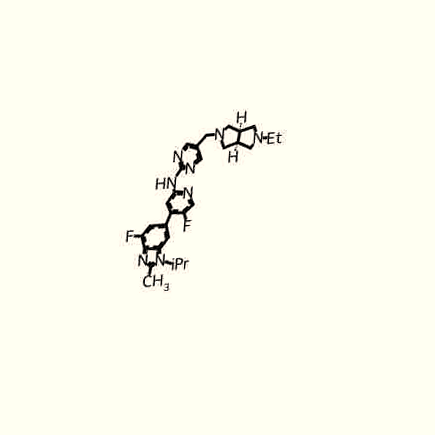 CCN1C[C@@H]2CN(Cc3cnc(Nc4cc(-c5cc(F)c6nc(C)n(C(C)C)c6c5)c(F)cn4)nc3)C[C@@H]2C1